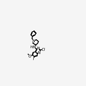 COc1cc2c(N[C@@H]3CCCN(Cc4ccccc4)C3)nc(Cl)nc2cc1I